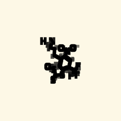 NCCCc1c([N+](=O)[O-])cc(C(F)(F)F)c2sc(=S)[s+]([O-])c12